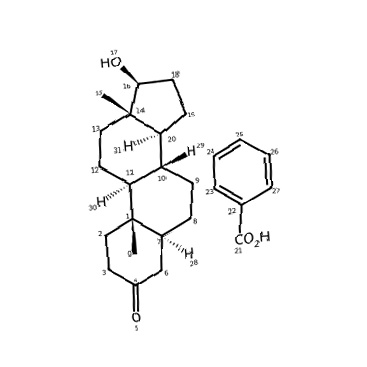 C[C@]12CCC(=O)C[C@@H]1CC[C@@H]1[C@@H]2CC[C@]2(C)[C@@H](O)CC[C@@H]12.O=C(O)c1ccccc1